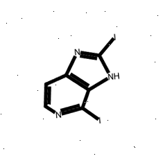 Ic1nc2ccnc(I)c2[nH]1